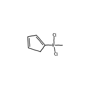 [CH3][Ir]([Cl])([Cl])[C]1=CC=CC1